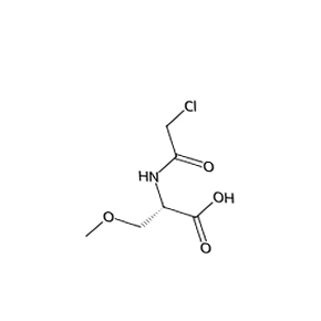 COC[C@H](NC(=O)CCl)C(=O)O